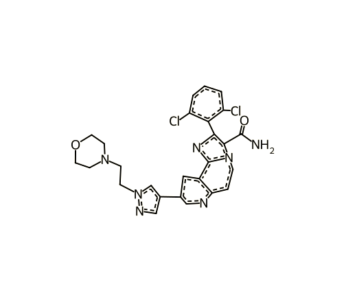 NC(=O)c1c(-c2c(Cl)cccc2Cl)nc2c3cc(-c4cnn(CCN5CCOCC5)c4)cnc3ccn12